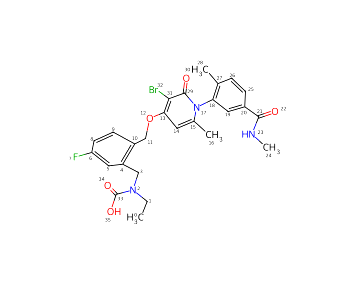 CCN(Cc1cc(F)ccc1COc1cc(C)n(-c2cc(C(=O)NC)ccc2C)c(=O)c1Br)C(=O)O